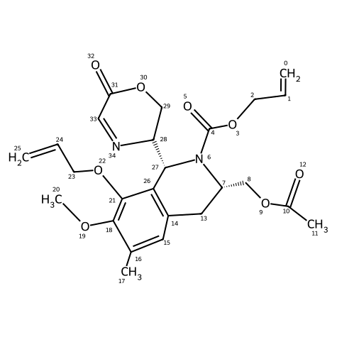 C=CCOC(=O)N1[C@H](COC(C)=O)Cc2cc(C)c(OC)c(OCC=C)c2[C@@H]1C1COC(=O)C=N1